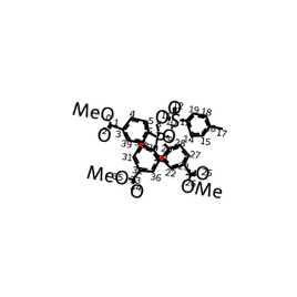 COC(=O)c1ccc(P(C)(OS(=O)(=O)c2ccc(C)cc2)(c2ccc(C(=O)OC)cc2)c2ccc(C(=O)OC)cc2)cc1